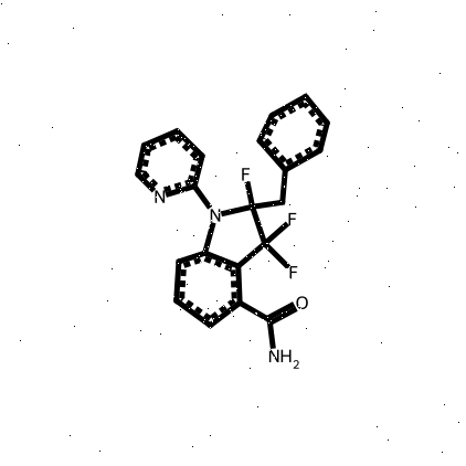 NC(=O)c1cccc2c1C(F)(F)C(F)(Cc1ccccc1)N2c1ccccn1